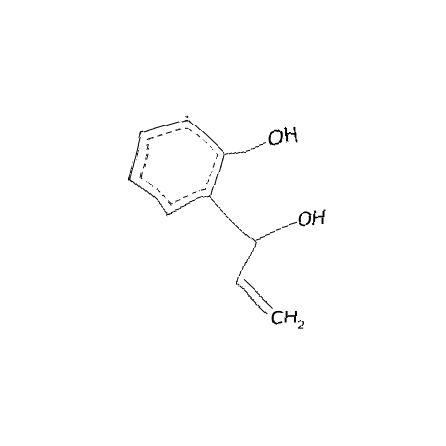 C=CC(O)c1ccc[c]c1O